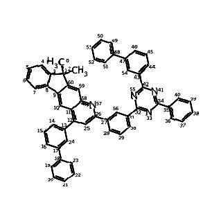 CC1(C)c2ccccc2-c2cc3c(-c4cccc(-c5ccccc5)c4)cc(-c4cccc(-c5nc(-c6ccccc6)nc(-c6cccc(-c7ccccc7)c6)n5)c4)nc3cc21